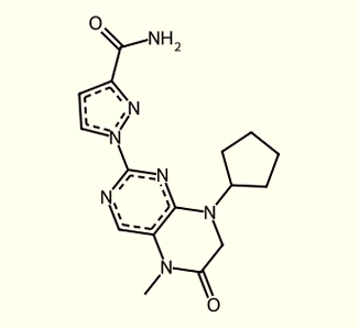 CN1C(=O)CN(C2CCCC2)c2nc(-n3ccc(C(N)=O)n3)ncc21